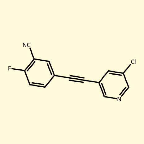 N#Cc1cc(C#Cc2cncc(Cl)c2)ccc1F